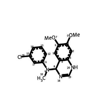 COc1cc2c(cc1OC)[C](N(C)c1cccc(Cl)c1)N=CN2